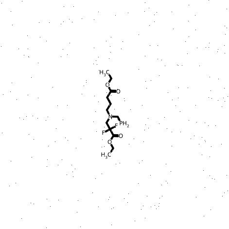 CCOC(=O)CCCN(CP)CC(F)(F)C(=O)OCC